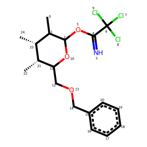 CC1C(OC(=N)C(Cl)(Cl)Cl)OC(COCc2ccccc2)[C@H](C)[C@@H]1C